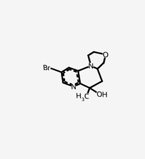 CC1(O)CC2COCCN2c2cc(Br)cnc21